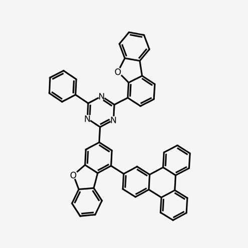 c1ccc(-c2nc(-c3cc(-c4ccc5c6ccccc6c6ccccc6c5c4)c4c(c3)oc3ccccc34)nc(-c3cccc4c3oc3ccccc34)n2)cc1